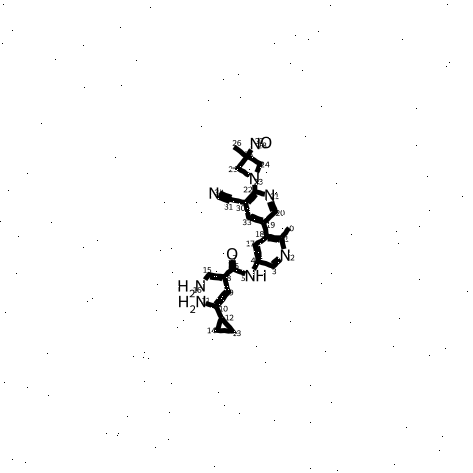 Cc1ncc(NC(=O)C(/C=C(\N)C2CC2)=C/N)cc1-c1cnc(N2CC(C)(N=O)C2)c(C#N)c1